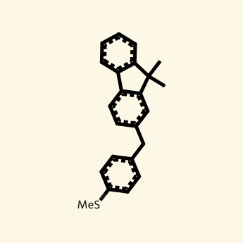 CSc1ccc(Cc2ccc3c(c2)C(C)(C)c2ccccc2-3)cc1